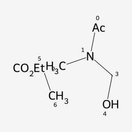 CC(=O)N(C)CO.CCOC(C)=O